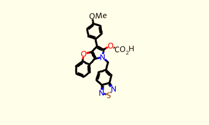 COc1ccc(-c2c(OC(=O)O)n(Cc3ccc4nsnc4c3)c3c2oc2ccccc23)cc1